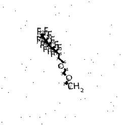 C=COCCOCCCC(F)(F)C(F)(F)C(F)(F)C(F)(F)C(F)(F)F